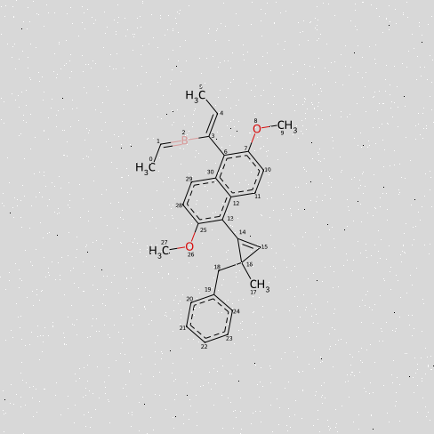 C/C=B\C(=C/C)c1c(OC)ccc2c(C3=CC3(C)Cc3ccccc3)c(OC)ccc12